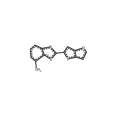 Cc1cccc2nc(-c3cc4occc4s3)sc12